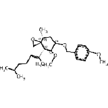 COc1ccc(CO[C@@H]2C[C@@H](C)[C@]3(CO3)[C@@H](C(C)=CCCC(C)C)[C@@H]2OC)cc1